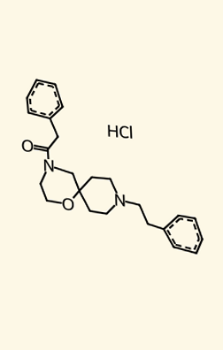 Cl.O=C(Cc1ccccc1)N1CCOC2(CCN(CCc3ccccc3)CC2)C1